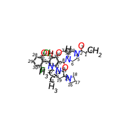 C=CC(=O)N1CCN2C(=O)c3c(N4CC(N5CCC5)CC4(C)C)nc(-c4c(O)cccc4F)c(Cl)c3OC[C@H]2C1